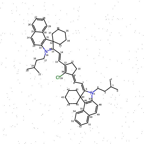 CC(C)CCN1/C(=C/C=C2\CCC(/C=C/C3=[N+](CCC(C)C)c4ccc5ccccc5c4C34CCCCC4)=C2Cl)C2(CCCCC2)c2c1ccc1ccccc21